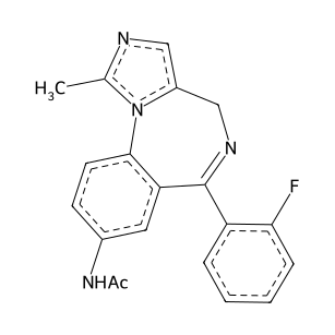 CC(=O)Nc1ccc2c(c1)C(c1ccccc1F)=NCc1cnc(C)n1-2